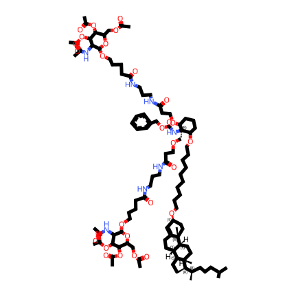 CC(=O)NC1C(OCCCCC(=O)NCCCNC(=O)CCOC[C@@]2(NC(=O)OCc3ccccc3)C(OCCCCCCCCCCO[C@@H]3C=C4CC[C@H]5[C@@H]6CC[C@H]([C@H](C)CCCC(C)C)[C@@]6(C)CC[C@@H]5[C@@]4(C)CC3)CCCC2OCCC(=O)NCCCNC(=O)CCCCOC2OC(COC(C)=O)C(OC(C)=O)C(OC(C)=O)C2NC(C)=O)OC(COC(C)=O)C(OC(C)=O)C1OC(C)=O